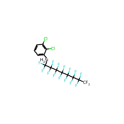 FC(F)(F)C(F)(F)C(F)(F)C(F)(F)C(F)(F)C(F)(F)C(F)(F)C(F)(F)[SiH2]c1cccc(Cl)c1Cl